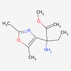 C=C(OC)C(N)(CC)c1nc(C)oc1C